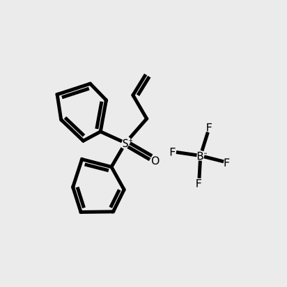 C=CC[S+](=O)(c1ccccc1)c1ccccc1.F[B-](F)(F)F